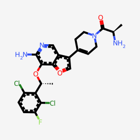 C[C@@H](N)C(=O)N1CC=C(c2coc3c(O[C@H](C)c4c(Cl)ccc(F)c4Cl)c(N)ncc23)CC1